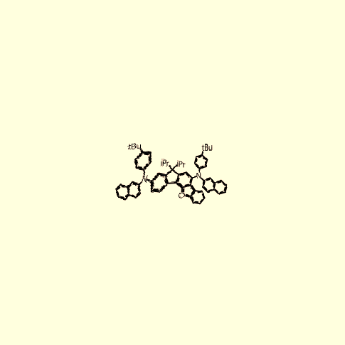 CC(C)C1(C(C)C)c2cc(N(c3ccc(C(C)(C)C)cc3)c3ccc4ccccc4c3)ccc2-c2c1cc(N(c1ccc(C(C)(C)C)cc1)c1ccc3ccccc3c1)c1c2oc2ccccc21